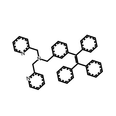 c1ccc(C(=C(c2ccccc2)c2cccc(CN(Cc3ccccn3)Cc3ccccn3)c2)c2ccccc2)cc1